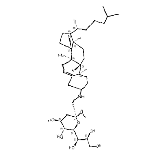 CO[C@]1(CNC2CC[C@@]3(C)C(=CC[C@H]4[C@@H]5CC[C@H]([C@H](C)CCCC(C)C)[C@@]5(C)CC[C@@H]43)C2)C[C@H](O)[C@@H](O)[C@H]([C@H](O)[C@@H](O)CO)O1